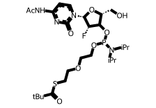 CC(=O)Nc1ccn([C@@H]2O[C@H](CO)C(OP(OCCOCCSC(=O)C(C)(C)C)N(C(C)C)C(C)C)[C@@H]2F)c(=O)n1